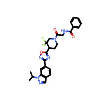 CC(C)n1ncc2ccc(-c3noc(C4CCN(C(=O)CNC(=O)c5ccccc5)CC4(F)F)n3)cc21